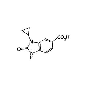 O=C(O)c1ccc2[nH]c(=O)n(C3CC3)c2c1